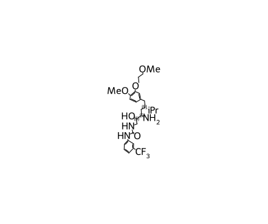 COCCCOc1cc(C[C@@H](C[C@H](N)[C@@H](O)CNC(=O)Nc2cccc(C(F)(F)F)c2)C(C)C)ccc1OC